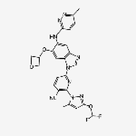 Cc1ccc(Nc2cc3ncn(-c4ccc(C#N)c(-n5nc(OC(F)F)cc5C)n4)c3cc2OC2COC2)nn1